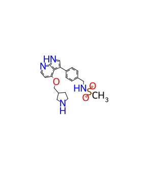 CS(=O)(=O)NCc1ccc(-c2c[nH]c3nccc(OCC4CCNC4)c23)cc1